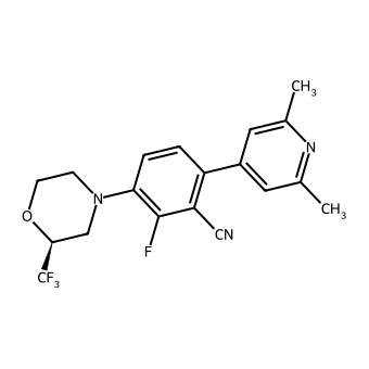 Cc1cc(-c2ccc(N3CCO[C@H](C(F)(F)F)C3)c(F)c2C#N)cc(C)n1